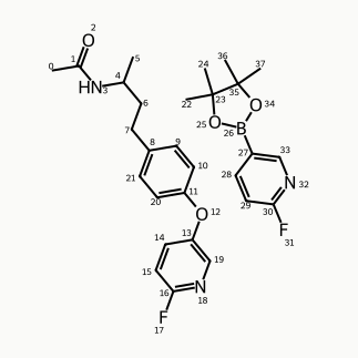 CC(=O)NC(C)CCc1ccc(Oc2ccc(F)nc2)cc1.CC1(C)OB(c2ccc(F)nc2)OC1(C)C